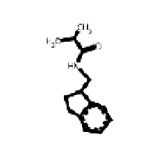 CC(C)C(=O)NCC1CCc2ccccc21